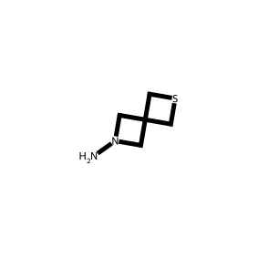 NN1CC2(CSC2)C1